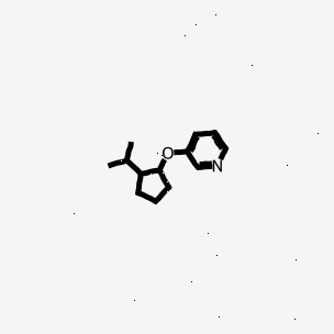 CC(C)C1CCCC1Oc1cccnc1